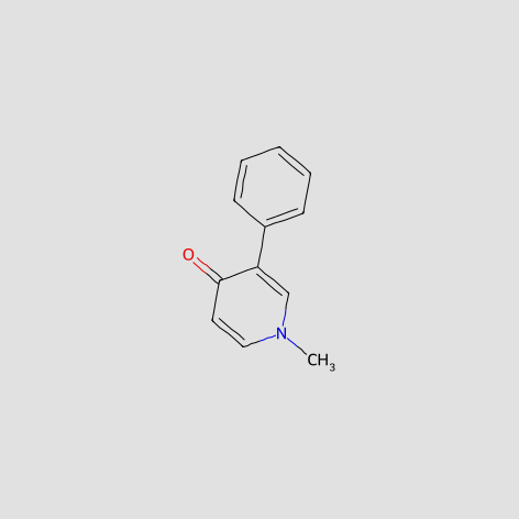 Cn1ccc(=O)c(-c2ccccc2)c1